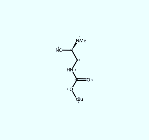 CN[C@H](C#N)CNC(=O)OC(C)(C)C